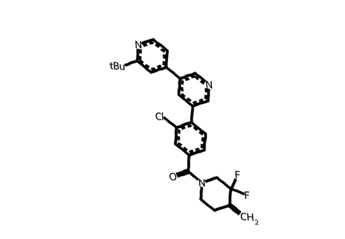 C=C1CCN(C(=O)c2ccc(-c3cncc(-c4ccnc(C(C)(C)C)c4)c3)c(Cl)c2)CC1(F)F